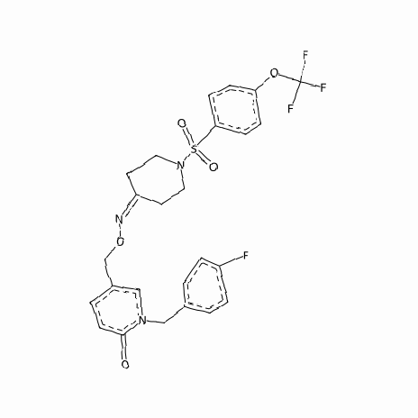 O=c1ccc(CON=C2CCN(S(=O)(=O)c3ccc(OC(F)(F)F)cc3)CC2)cn1Cc1ccc(F)cc1